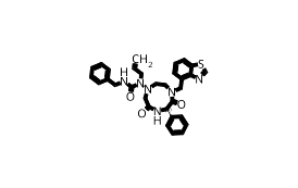 C=CCN(C(=O)NCc1ccccc1)N1CCN(Cc2cccc3scnc23)C(=O)[C@H](c2ccccc2)NC(=O)C1